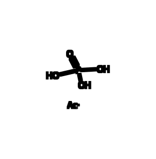 O=P(O)(O)O.[Ac]